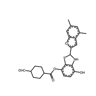 Cc1cc(C)c2cc(C3Nc4c(O)ccc(OC(=O)C5CCC(C=O)CC5)c4S3)oc2c1